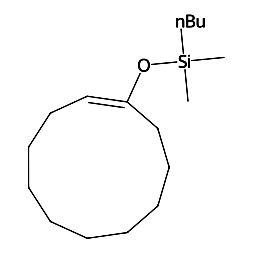 CCCC[Si](C)(C)O/C1=C/CCCCCCCCC1